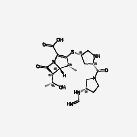 C[C@@H](O)[C@H]1C(=O)N2C(C(=O)O)=C(S[C@@H]3CN[C@H](C(=O)N4CC[C@H](NC=N)C4)C3)[C@H](C)[C@H]12